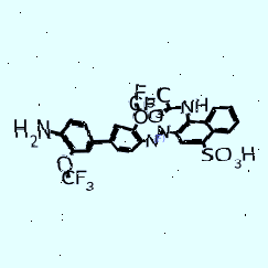 Nc1ccc(-c2ccc(/N=N/c3cc(S(=O)(=O)O)c4ccccc4c3NC(=O)C(F)(F)F)c(OC(F)(F)F)c2)cc1OC(F)(F)F